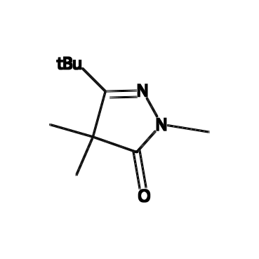 CN1N=C(C(C)(C)C)C(C)(C)C1=O